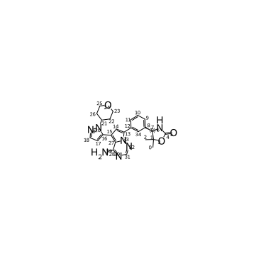 CC1(C)OC(=O)N[C@@H]1c1cccc(-c2cc(-c3ccnn3C3CCOCC3)c3c(N)ncnn23)c1